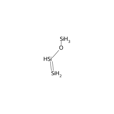 [SiH2]=[SiH]O[SiH3]